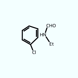 CCNC=O.Clc1ccccc1